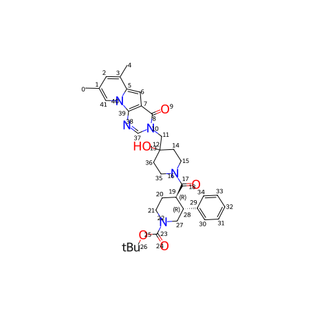 Cc1cc(C)c2cc3c(=O)n(CC4(O)CCN(C(=O)[C@@H]5CCN(C(=O)OC(C)(C)C)C[C@H]5c5ccccc5)CC4)cnc3n2c1